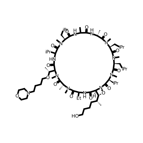 CCC1NC(=O)[C@@H]2[C@@H]([C@H](C)CCCCO)ON2C(=O)[C@H](C(C)C)N(C)C(=O)[C@H](CC(C)C)N(C)C(=O)[C@H](CC(C)C)N(C)C(=O)[C@@H](C)NC(=O)C(C)NC(=O)[C@H](CC(C)C)N(C)C(=O)C(C(C)C)NC(=O)C([C@@H](C)OCCCCN2CCOCC2)N(C)C(=O)[C@@H](C)N(C)C1=O